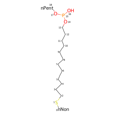 CCCCCCCCCSCCCCCCCCCCCCOP(O)OCCCCC